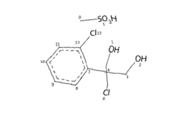 CS(=O)(=O)O.OCC(O)(Cl)c1ccccc1Cl